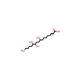 CCCCCC(O)C(O)CCC(O)CCCCC/C=C/C(=O)O